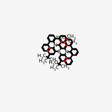 CC(C)(C)c1ccc2c(c1)B1c3cc(C(C)(C)C)ccc3N(c3c(-c4ccccc4)cccc3-c3ccccc3)c3cc(C(C)(C)C)cc(c31)N2c1c(-c2ccccc2)cccc1-c1ccccc1